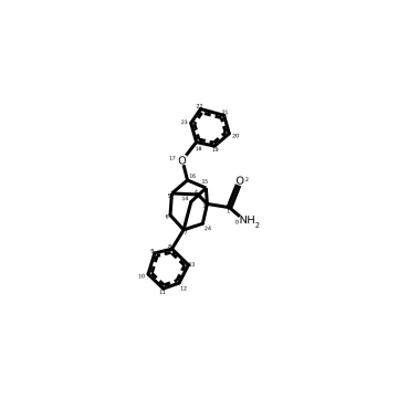 NC(=O)C12CC3CC(c4ccccc4)(CC1C3Oc1ccccc1)C2